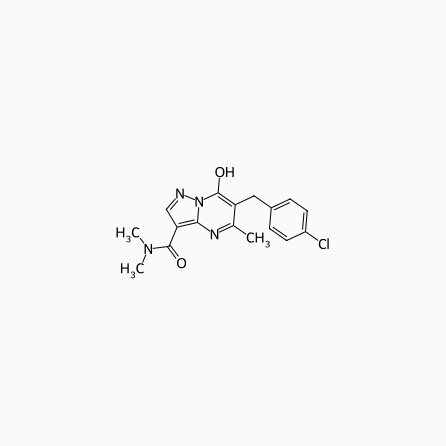 Cc1nc2c(C(=O)N(C)C)cnn2c(O)c1Cc1ccc(Cl)cc1